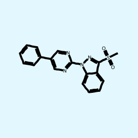 CS(=O)(=O)c1nn(-c2ncc(-c3ccccc3)cn2)c2c[c]ccc12